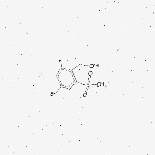 CS(=O)(=O)c1cc(Br)cc(F)c1CO